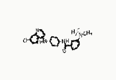 CN(C)c1cccc(C(=O)N[C@H]2CC[C@@H](Nc3ccnc4cc(Cl)ccc34)CC2)c1